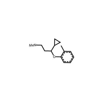 CNCCC(Oc1ccccc1C)C1CC1